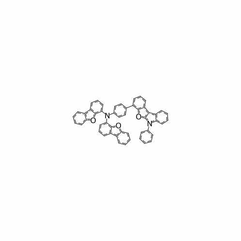 c1ccc(-n2c3ccccc3c3c4cccc(-c5ccc(N(c6cccc7c6oc6ccccc67)c6cccc7c6oc6ccccc67)cc5)c4oc32)cc1